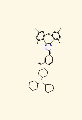 C1CCC(P(C2CCCCC2)C2CCCCC2)CC1.Cc1cc(C)c(C2=NC(=C3C=C([CH]=[Ru+2])C=CC3)N=C2c2c(C)cc(C)cc2C)c(C)c1.[Cl-].[Cl-]